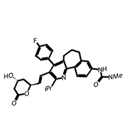 CNC(=O)Nc1ccc2c(c1)CCCc1c-2nc(C(C)C)c(/C=C/[C@@H]2C[C@@H](O)CC(=O)O2)c1-c1ccc(F)cc1